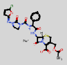 CC(=O)OCC1=C(C(=O)[O-])N2C(=O)C(NC(=O)C(NC(=O)N3CCN(N=C4C=CC(Cl)O4)C3=O)c3ccccc3)[C@@H]2SC1.[Na+]